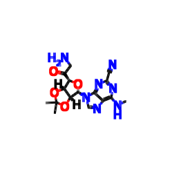 CNc1nc(C#N)nc2c1ncn2[C@@H]1O[C@H](C(=O)CN)[C@H]2OC(C)(C)O[C@H]21